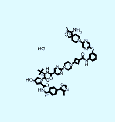 Cc1ncsc1-c1ccc([C@H](C)NC(=O)C2=C[C@@H](O)CN2C(=O)[C@@H](NC(=O)c2cnc(N3CCN(C4CC(C(=O)Nc5cccc(Sc6cnc(N7CCC8(CC7)CO[C@@H](C)[C@H]8N)cn6)c5)C4)CC3)nc2)C(C)(C)C)cc1.Cl